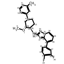 CO[C@@H]1CN(c2cc(C)ncn2)CC[C@H]1Nc1nc2c(-c3ccc(F)c(F)c3)cccn2n1